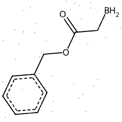 BCC(=O)OCc1ccccc1